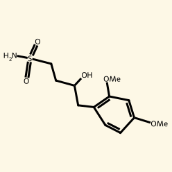 COc1ccc(CC(O)CCS(N)(=O)=O)c(OC)c1